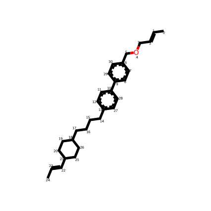 CC=CCOCc1ccc(-c2ccc(CCCCC3CCC(C=CC)CC3)cc2)cc1